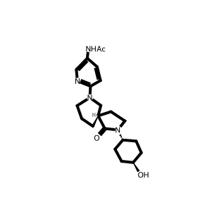 CC(=O)Nc1ccc(N2CCC[C@]3(CCN([C@H]4CC[C@H](O)CC4)C3=O)C2)nc1